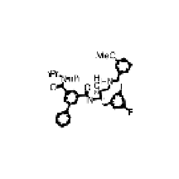 CCCN(CCC)C(=O)c1cc(C(=O)N[C@@H](Cc2cc(F)cc(F)c2)[C@H](O)CNCc2cccc(OC)c2)cc(-c2ccccc2)c1